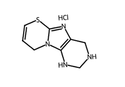 C1=CSc2nc3c(n2C1)NCNC3.Cl